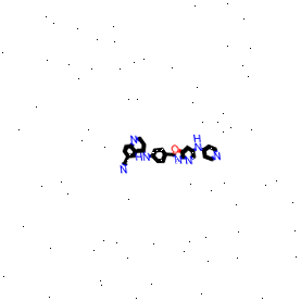 N#Cc1ccc2nccc(Nc3ccc(-c4nc5ncc(Nc6ccncc6)cc5o4)cc3)c2c1